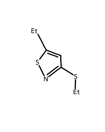 CCSc1cc(CC)sn1